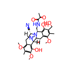 COc1c(C)c(OC)c2c(c1O)[C@H]1[C@@H]3Cc4c(OC)c(C)c(CO)c(O)c4[C@H](CNC(=O)C(C)=O)N3[C@@H](C#N)[C@@H](C2)N1C